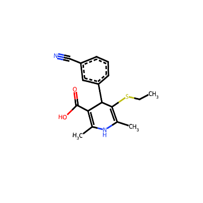 CCSC1=C(C)NC(C)=C(C(=O)O)C1c1cccc(C#N)c1